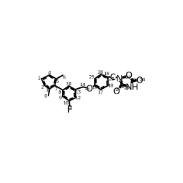 Cc1cccc(C)c1-c1cc(F)cc(COc2ccc(Cn3oc(=O)[nH]c3=O)cc2)c1